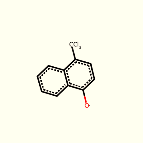 [O]c1ccc(C(Cl)(Cl)Cl)c2ccccc12